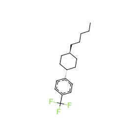 CCCCC[C@H]1CC[C@H](c2ccc(C(F)(F)F)cc2)CC1